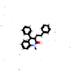 CN1C(=O)C(CCc2ccccc2)C(c2ccccc2)c2ccccc21